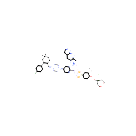 CC1(C)CCC(CN2CCN(c3ccc(C(=O)NS(=O)(=O)c4ccc(OCC5(F)CCOCC5)c([N+](=O)[O-])c4)c(-n4ncc5nc6[nH]ccc6cc54)c3)CC2)=C(c2ccc(Cl)cc2)C1